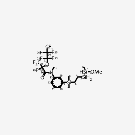 CO[SiH](C)[SiH2]CC[Si](C)(C)c1cccc(N(C)C(=O)C(F)(OC(F)(F)C(F)(F)C(F)(F)F)C(F)(F)F)c1